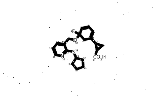 O=C(O)C1CC1C1=CC=CC(F)(OCc2cccnc2SC2CCCC2)C1